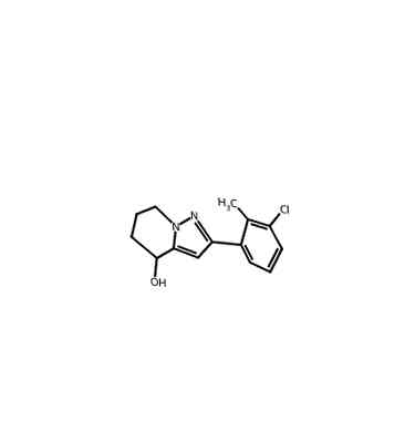 Cc1c(Cl)cccc1-c1cc2n(n1)CCCC2O